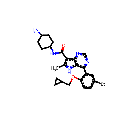 CCc1ccc(OCC2CC2)c(-c2ncnc3c(C(=O)NC4CCC(N)CC4)c(C)[nH]c23)c1